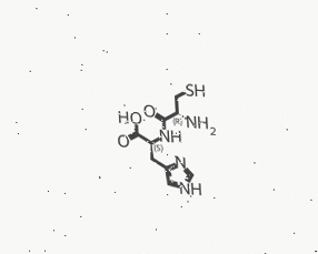 N[C@@H](CS)C(=O)N[C@@H](Cc1c[nH]cn1)C(=O)O